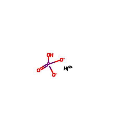 O=P([O-])([O-])O.[Hf+2]